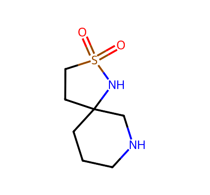 O=S1(=O)CCC2(CCCNC2)N1